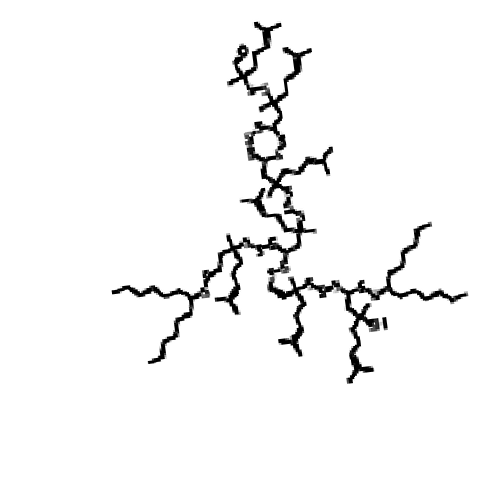 CCCCCCC(CCCCCC)SSCCC(C)(CCC=C(C)C)SSSC(CC(C)(CCC=C(C)C)SSSC(C)(CCC=C(C)C)CC1SSSC(CC(C)(CCC=C(C)C)SSC(C)(C=O)CCC=C(C)C)SS1)SS/C=C\C(C)(CCC=C(C)C)SSSC(CC(C)(S)CCC=C(C)C)SSC(CCCCCC)CCCCCC